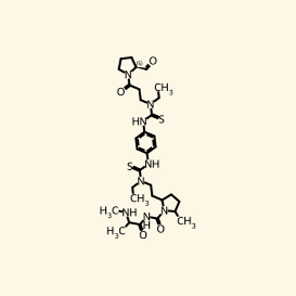 CCN(CCC(=O)N1CCC[C@H]1C=O)C(=S)Nc1ccc(NC(=S)N(CC)CCC2CCC(C)N2C(=O)NC(=O)C(C)NC)cc1